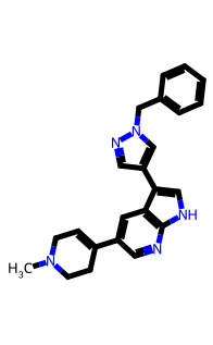 CN1CC=C(c2cnc3[nH]cc(-c4cnn(Cc5ccccc5)c4)c3c2)CC1